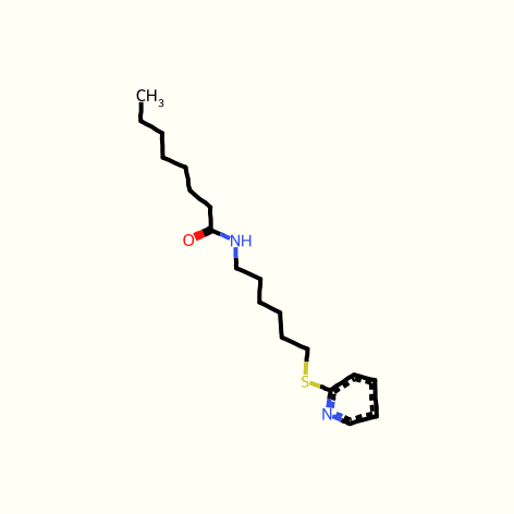 CCCCCCCC(=O)NCCCCCCSc1ccccn1